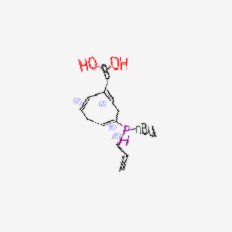 C=C/C=[PH](CCCC)/C1=C/C/C=C\C(B(O)O)=C/C1